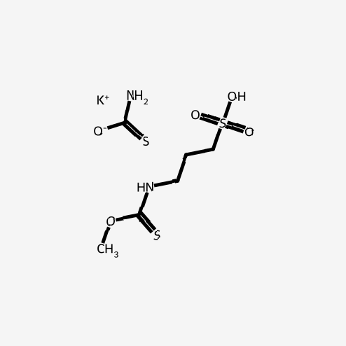 COC(=S)NCCCS(=O)(=O)O.NC([O-])=S.[K+]